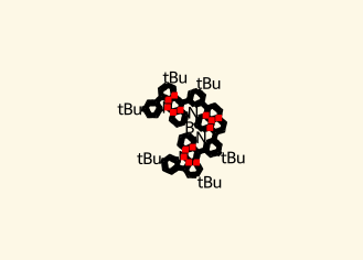 CC(C)(C)c1cc(-c2ccccc2)c(N2c3cc(-n4c5ccc(C(C)(C)C)cc5c5cc(C(C)(C)C)ccc54)ccc3B3c4ccc(-n5c6ccc(C(C)(C)C)cc6c6ccc(C(C)(C)C)cc65)cc4N(c4c(-c5ccccc5)cc(C(C)(C)C)cc4-c4ccccc4)c4cccc2c43)c(-c2ccccc2)c1